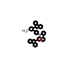 CC1C=CC(c2cc3ccccc3c3ccccc23)=C(c2ccc(N(c3cccc(-c4cc5ccccc5c5ccccc45)c3)c3ccccc3-c3ccccc3)cc2)C1